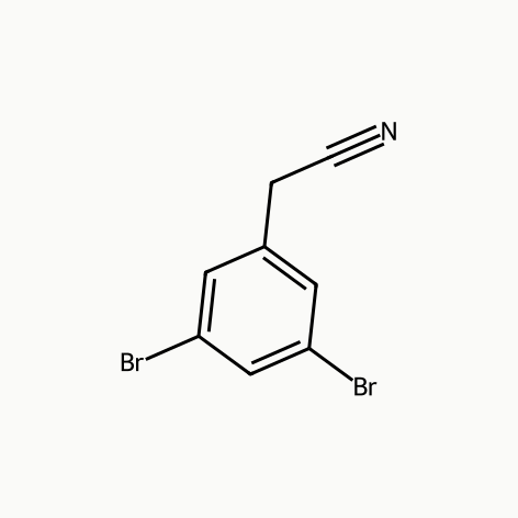 N#CCc1cc(Br)cc(Br)c1